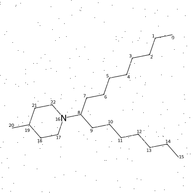 CCCCCCCCC(CCCCCCC)N1CCC(C)CC1